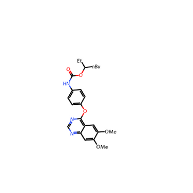 CCCCC(CC)OC(=O)Nc1ccc(Oc2ncnc3cc(OC)c(OC)cc23)cc1